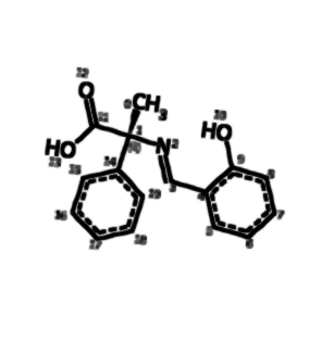 C[C@](N=Cc1ccccc1O)(C(=O)O)c1ccccc1